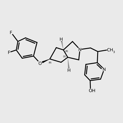 CC(CN1C[C@H]2C[C@@H](Oc3ccc(F)c(F)c3)C[C@H]2C1)c1ccc(O)cn1